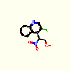 O=[N+]([O-])C(CO)c1c(Cl)cnc2ccccc12